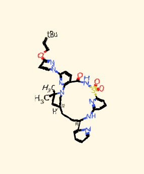 CC(C)(C)CCOc1ccn(-c2ccc3c(n2)N2C[C@@H](CC[C@H](c4ccccn4)Nc4cccc(n4)S(=O)(=O)NC3=O)CC2(C)C)n1